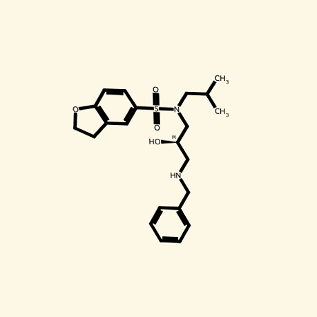 CC(C)CN(C[C@H](O)CNCc1ccccc1)S(=O)(=O)c1ccc2c(c1)CCO2